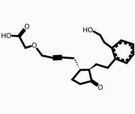 O=C(O)COCC#CC[C@H]1CCC(=O)[C@@H]1CCc1ccccc1CCO